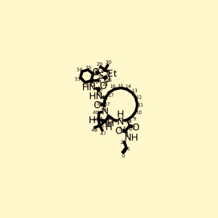 C=CCNC(=O)C(=O)[C@@H]1CCCCCCCCC[C@H](NC(=O)NC2(CS(=O)(=O)C(C)(C)CC)CCCCC2)C(=O)N2C[C@H]3[C@@H]([C@H]2CN1)C3(C)C